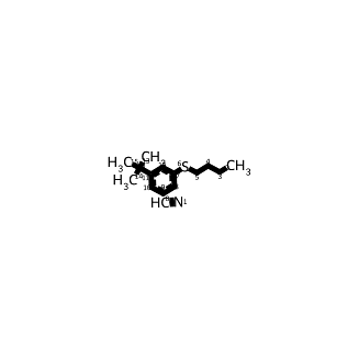 C#N.CCCCSc1cccc(C(C)(C)C)c1